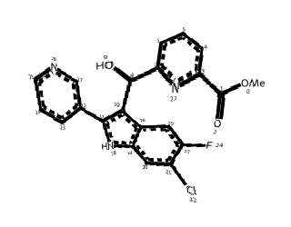 COC(=O)c1cccc(C(O)c2c(-c3cccnc3)[nH]c3cc(Cl)c(F)cc23)n1